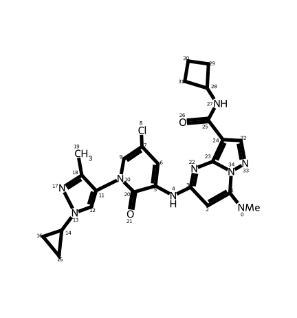 CNc1cc(Nc2cc(Cl)cn(-c3cn(C4CC4)nc3C)c2=O)nc2c(C(=O)NC3CCC3)cnn12